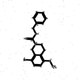 COc1ccc(Br)c2c1CCN(C(=O)OCc1ccccc1)C2